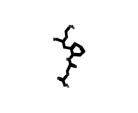 CCOC(O)Cc1ccccc1NC(=O)COC(C)=O